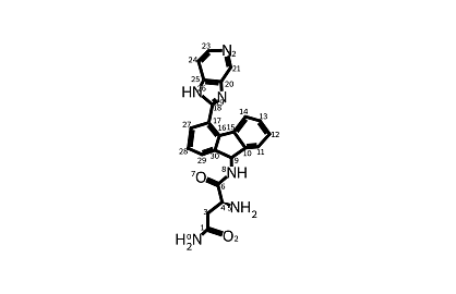 NC(=O)C[C@H](N)C(=O)NC1c2ccccc2-c2c(-c3nc4cnccc4[nH]3)cccc21